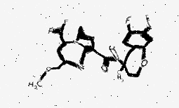 COCc1cc(C(F)F)n2ccc(C(=O)NC3(C)CCOc4cc(F)c(F)cc43)c2n1